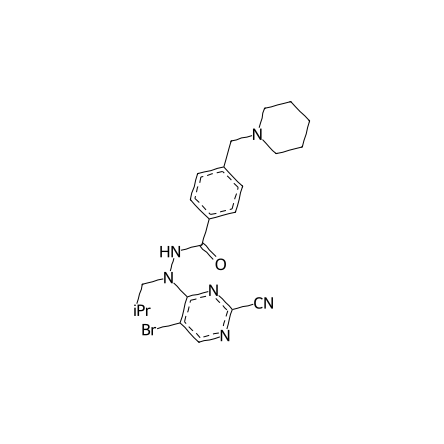 CC(C)CN(NC(=O)c1ccc(CN2CCCCC2)cc1)c1nc(C#N)ncc1Br